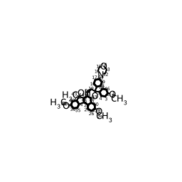 COc1ccc(C2(c3ccc(N4CCOCC4)cc3)C=Cc3c4c(c5ccc(OC)cc5c3O2)-c2ccc(OC)cc2C4(C)O)cc1